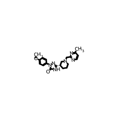 COc1ccc(-n2nc([C@H]3CCCN(Cc4nccc(C)n4)C3)[nH]c2=O)cc1